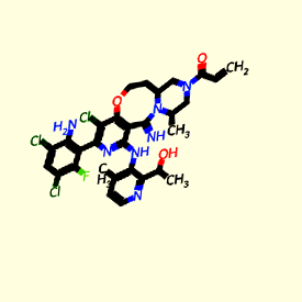 C=CC(=O)N1CC(C)N2C(=N)c3c(Nc4c(C)ccnc4C(C)O)nc(-c4c(N)c(Cl)cc(Cl)c4F)c(Cl)c3OCCC2C1